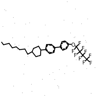 CCCCCCCCC1CCC(c2ccc(-c3ccc(OC(F)(F)C(F)(F)C(F)(F)C(F)(F)F)cc3)cc2)CC1